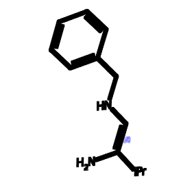 CC(C)/C(N)=C/NCc1ccccc1